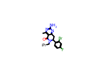 Cc1nc(N)nc2c1C(=O)N(CC(C)C)C(c1ccc(F)cc1Br)C2